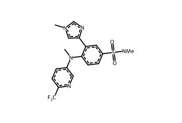 CNS(=O)(=O)c1ccc(N(C)c2ccc(C(F)(F)F)nc2)c(-c2cn(C)cn2)c1